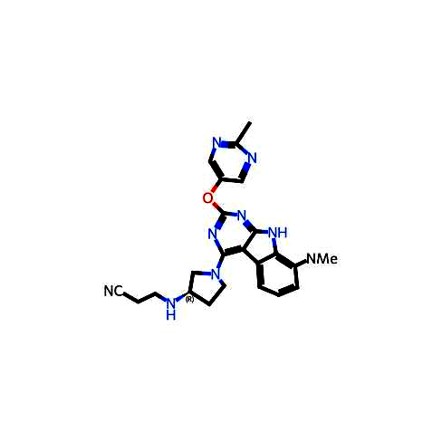 CNc1cccc2c1[nH]c1nc(Oc3cnc(C)nc3)nc(N3CC[C@@H](NCCC#N)C3)c12